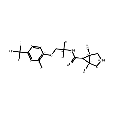 Cc1cc(C(F)(F)F)ccc1OCC(C)(C)NC(=O)[C@H]1[C@@H]2CNC[C@@H]21